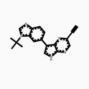 C#Cc1cnc2[nH]cc(-c3ccc4ncn(C(C)(C)C)c4c3)c2n1